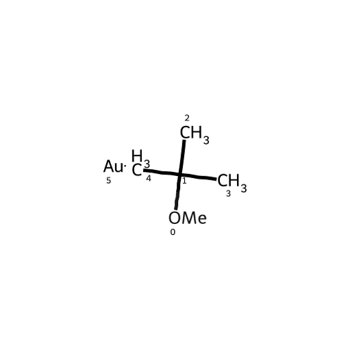 COC(C)(C)C.[Au]